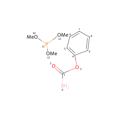 BC(=O)Oc1ccccc1.COP(OC)OC